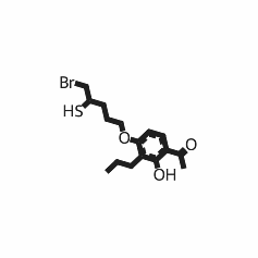 CCCc1c(OCCCC(S)CBr)ccc(C(C)=O)c1O